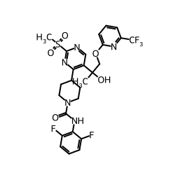 CC(O)(COc1cccc(C(F)(F)F)n1)c1cnc(S(C)(=O)=O)nc1C1CCN(C(=O)Nc2c(F)cccc2F)CC1